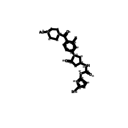 CC(=O)N1CCN(C(=O)c2ccc(N3CC(NC(=O)Oc4ccc(Br)s4)CC3=O)cc2C)CC1